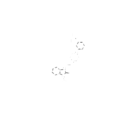 CC(C)n1c(=O)n(CCN2CCN(c3cccc(C(F)(F)F)c3)CC2)c2ccccc21